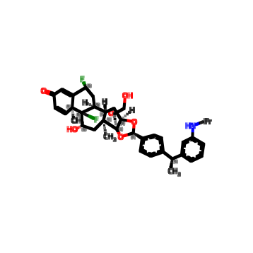 CC(C)Nc1cccc([C@@H](C)c2ccc([C@@H]3O[C@@H]4C[C@H]5[C@@H]6C[C@H](F)C7=CC(=O)C=C[C@]7(C)[C@@]6(F)[C@@H](O)C[C@]5(C)[C@]4(C(=O)CO)O3)cc2)c1